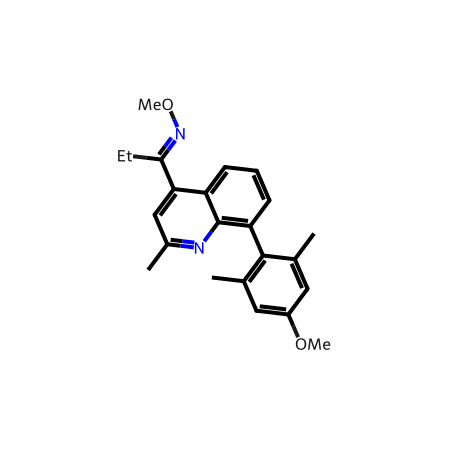 CCC(=NOC)c1cc(C)nc2c(-c3c(C)cc(OC)cc3C)cccc12